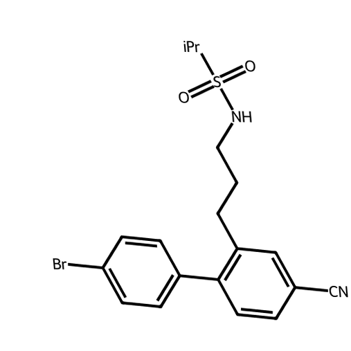 CC(C)S(=O)(=O)NCCCc1cc(C#N)ccc1-c1ccc(Br)cc1